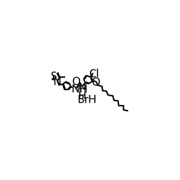 Br.CCCCCCCCCCCCOc1cc(NC(=O)Nc2ccc(CN3CSC=C3C)cc2)ccc1Cl